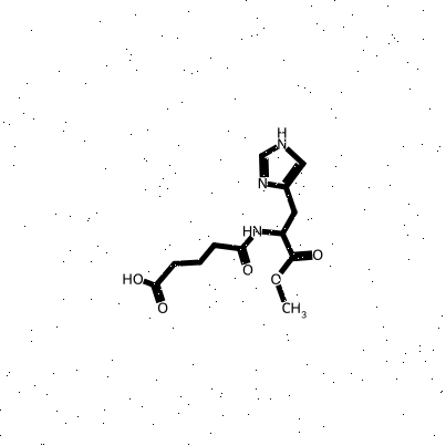 COC(=O)C(Cc1c[nH]cn1)NC(=O)CCCC(=O)O